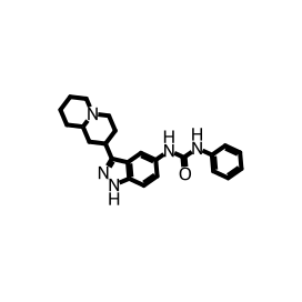 O=C(Nc1ccccc1)Nc1ccc2[nH]nc(C3CCN4CCCCC4C3)c2c1